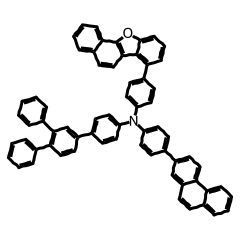 c1ccc(-c2ccc(-c3ccc(N(c4ccc(-c5ccc6c(ccc7ccccc76)c5)cc4)c4ccc(-c5cccc6oc7c8ccccc8ccc7c56)cc4)cc3)cc2-c2ccccc2)cc1